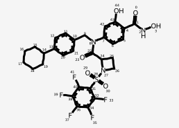 O=C(NO)c1ccc(N(Cc2ccc(C3CCCCC3)cc2)C(=O)C2CCN2S(=O)(=O)c2c(F)c(F)c(F)c(F)c2F)cc1O